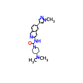 CN(C)C1CCN(C(=O)Nc2cc3cc(-c4cnn(C)c4)ccc3cn2)CC1